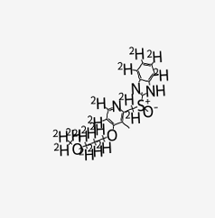 [2H]c1nc(C([2H])([2H])[S+]([O-])c2nc3c([2H])c([2H])c([2H])c([2H])c3[nH]2)c(C)c(OC([2H])([2H])C([2H])([2H])C([2H])([2H])OC([2H])([2H])[2H])c1[2H]